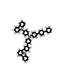 c1ccc(-c2ccc(-c3ccc(N(c4ccc(-c5ccc6c(c5)c5cccc7c8ccccc8n6c75)cc4)c4ccc(-n5c6ccccc6c6ccccc65)cc4)cc3)cc2)cc1